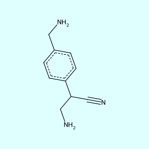 N#CC(CN)c1ccc(CN)cc1